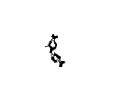 CC(C)N1CCN(CC2CCN(C(C)C)C[C@@H]2C)CC1